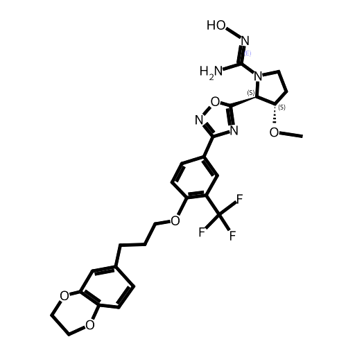 CO[C@H]1CCN(/C(N)=N/O)[C@@H]1c1nc(-c2ccc(OCCCc3ccc4c(c3)OCCO4)c(C(F)(F)F)c2)no1